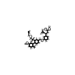 C#CCOCC(C)(C)c1cc(COc2cccc(C(CC(=O)OC)C3CC3)c2)ccc1-c1cc(OC)ccc1F